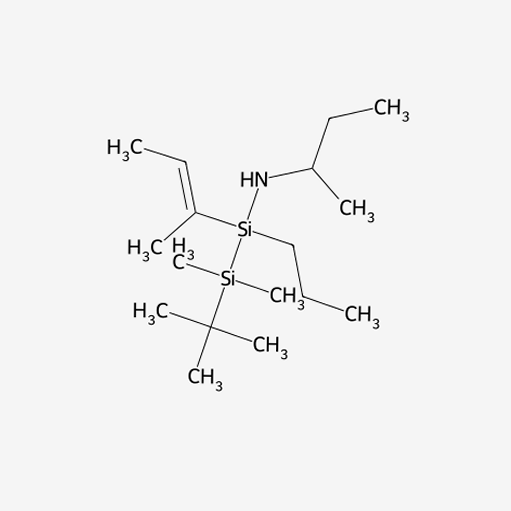 C/C=C(\C)[Si](CCC)(NC(C)CC)[Si](C)(C)C(C)(C)C